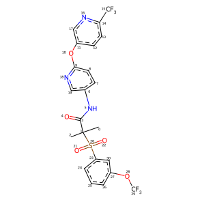 CC(C)(C(=O)Nc1ccc(Oc2ccc(C(F)(F)F)nc2)nc1)S(=O)(=O)c1cccc(OC(F)(F)F)c1